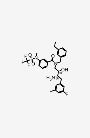 CCc1cccc(CN(C[C@@H](O)[C@@H](N)Cc2cc(F)cc(F)c2)C(=O)c2cccc(N(C)S(=O)(=O)C(F)(F)F)c2)c1